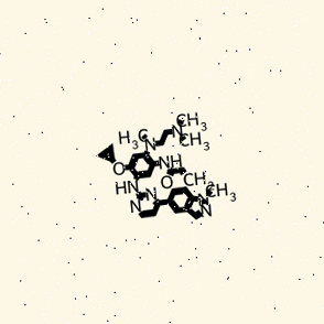 C=CC(=O)Nc1cc(Nc2nccc(-c3ccc4c(cnn4C)c3)n2)c(OC2CC2)cc1N(C)CCN(C)C